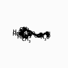 COc1cc(/C=C/c2ccc3cc(OCCOCCOCCOc4cc([C@H](C(=O)N5C[C@H](O)C[C@H]5C(=O)N[C@@H](C)c5ccc(-c6scnc6C)cc5)C(C)C)on4)ccc3n2)ccn1